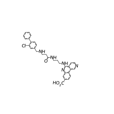 O=C(CCNCc1ccc(-c2ccccc2)c(Cl)c1)NCCCNc1nc2cc(C(=O)O)ccc2c2cnccc12